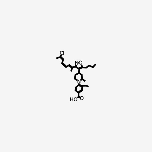 CCCCc1onc(/C(C)=C/C=C\C=C(/C)Cl)c1C1CCN(c2ccc(C(=O)O)cc2CC)C(C)C1